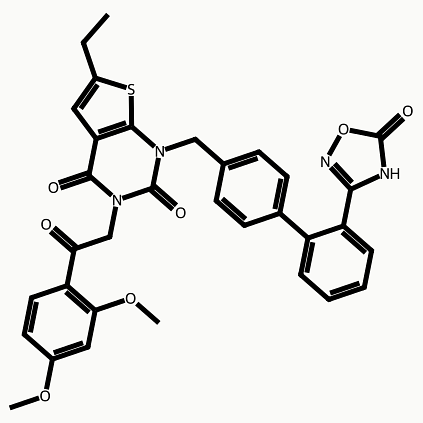 CCc1cc2c(=O)n(CC(=O)c3ccc(OC)cc3OC)c(=O)n(Cc3ccc(-c4ccccc4-c4noc(=O)[nH]4)cc3)c2s1